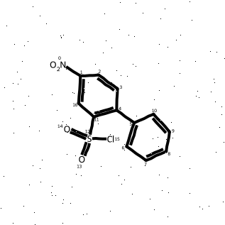 O=[N+]([O-])c1ccc(-c2ccccc2)c(S(=O)(=O)Cl)c1